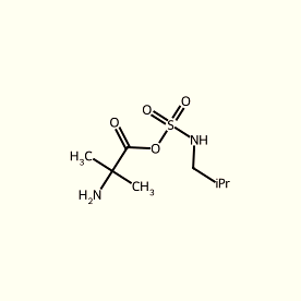 CC(C)CNS(=O)(=O)OC(=O)C(C)(C)N